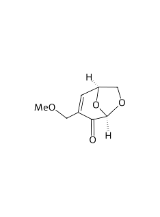 COCC1=C[C@H]2CO[C@H](O2)C1=O